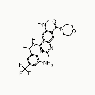 Cc1nc(N[C@H](C)c2cc(N)cc(C(F)(F)F)c2)c2cc(N(C)C)c(C(=O)N3CCOCC3)cc2n1